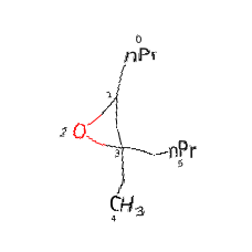 CCCC1OC1(C)CCC